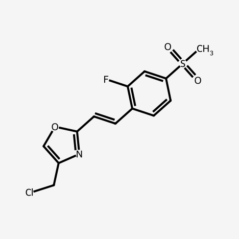 CS(=O)(=O)c1ccc(C=Cc2nc(CCl)co2)c(F)c1